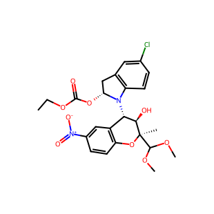 CCOC(=O)O[C@@H]1Cc2cc(Cl)ccc2N1[C@H]1c2cc([N+](=O)[O-])ccc2O[C@](C)(C(OC)OC)[C@@H]1O